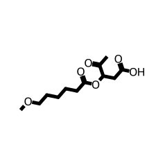 COCCCCCC(=O)OC(CC(=O)O)C(C)=O